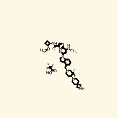 CNc1cc(N2CCc3c(CN4CC[C@H](N5CCC6(CC5)CNC6)C(F)(F)C4)cccc32)nn2c(C(=O)N[C@@H]3CC[C@H]3OC)cnc12.O=C(O)C(F)(F)F